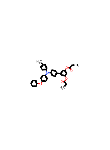 C=CC(=O)Oc1cc(OC(=O)C=C)cc(-c2ccc(N(c3ccc(C)cc3)c3ccc(Oc4ccccc4)cc3)cc2)c1